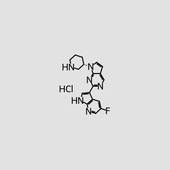 Cl.Fc1cnc2[nH]cc(-c3ncc4ccn([C@H]5CCCNC5)c4n3)c2c1